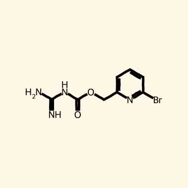 N=C(N)NC(=O)OCc1cccc(Br)n1